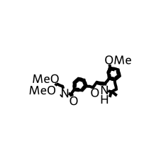 COc1ccc2c(c1)C(=CC(=O)c1cccc(C(=O)N(C)CC(OC)OC)c1)NC(C)(C)C2